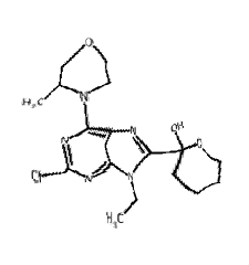 CCn1c(C2(O)CCCCO2)nc2c(N3CCOCC3C)nc(Cl)nc21